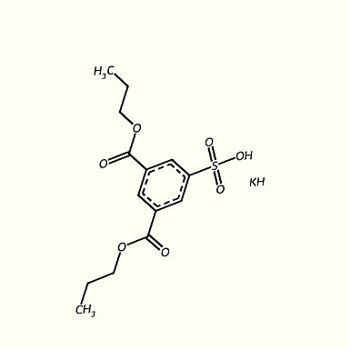 CCCOC(=O)c1cc(C(=O)OCCC)cc(S(=O)(=O)O)c1.[KH]